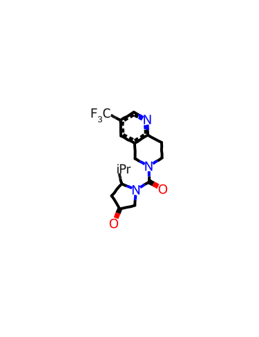 CC(C)C1CC(=O)CN1C(=O)N1CCc2ncc(C(F)(F)F)cc2C1